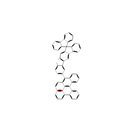 c1ccc(-c2ccccc2-c2c3ccccc3c(-c3ccc4oc5cc6c(cc5c4c3)-c3ccccc3C63c4ccccc4-c4ccccc43)c3ccccc23)cc1